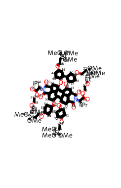 CCOCCOC(=O)C(C(C)C)N1C(=O)c2cc(Oc3ccc(OCC[Si](OC)(OC)OC)cc3)c3c4c(Oc5ccc(OCC[Si](OC)(OC)OC)cc5)cc5c6c(cc(Oc7ccc(OCC[Si](OC)(OC)OC)cc7)c(c7c(Oc8ccc(OCC[Si](OC)(OC)OC)cc8)cc(c2c37)C1=O)c64)C(=O)N(C(C(=O)OCCOCC)C(C)C)C5=O